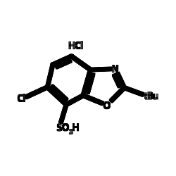 CC(C)(C)c1nc2ccc(Cl)c(S(=O)(=O)O)c2o1.Cl